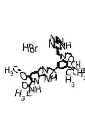 Br.CCOc1cc2c(nc1C(=O)NC)C(=N)N(CC(=O)c1cc3c(c(C(C)(C)C)c1)OCCN3Cc1nnn[nH]1)C2